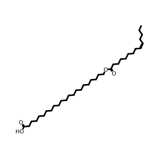 CCCC/C=C\CCCCCCCC(=O)OCCCCCCCCCCCCCCCCCCCCCC(=O)O